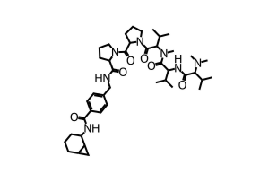 CC(C)C(NC(=O)C(C(C)C)N(C)C)C(=O)N(C)C(C(=O)N1CCCC1C(=O)N1CCCC1C(=O)NCc1ccc(C(=O)NC2CCCC3CC32)cc1)C(C)C